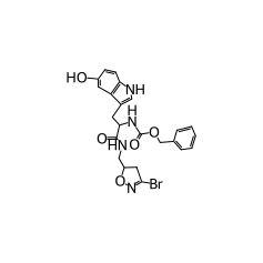 O=C(NC(Cc1c[nH]c2ccc(O)cc12)C(=O)NCC1CC(Br)=NO1)OCc1ccccc1